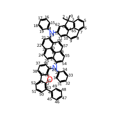 CC1(C)c2cccc3ccc4cc(N(c5ccccc5)c5ccc6ccc7c(N(c8ccccc8)c8cccc9c8oc8c(-c%10ccccc%10)cccc89)ccc8ccc5c6c87)cc1c4c23